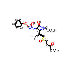 COC(=O)CC[S+]([O-])C=C(C)C1C(NC(=O)COc2ccccc2)C(=O)N1CC(=O)O